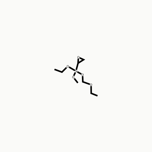 CCOCO[Si](OC)(OCC)C1CO1